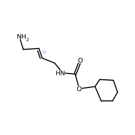 NC/C=C/CNC(=O)OC1CCCCC1